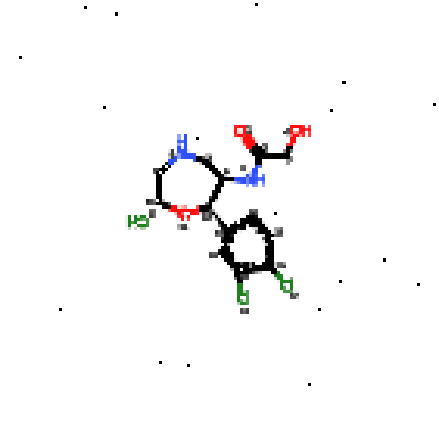 Cl.O=C(CO)N[C@@H]1CNCCO[C@H]1c1ccc(Cl)c(Cl)c1